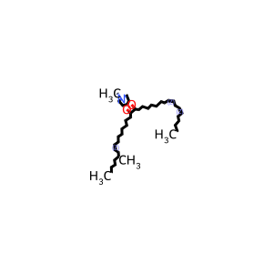 CCCCC/C=C\C/C=C\CCCCCCCC1OC2(CCN(C)CC2)OC1CCCCCCC/C=C\CC(C)CCCCC